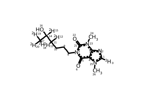 [2H]c1nc2c(c(=O)n(CCCC([2H])([2H])[C@@]([2H])(O)C([2H])([2H])[2H])c(=O)n2C)n1C